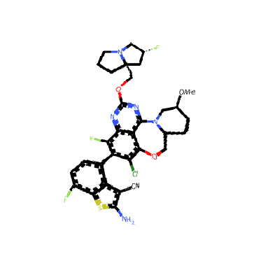 COC1CCC2COc3c(Cl)c(-c4ccc(F)c5sc(N)c(C#N)c45)c(F)c4nc(OC[C@@]56CCCN5C[C@H](F)C6)nc(c34)N2C1